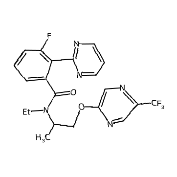 CCN(C(=O)c1cccc(F)c1-c1ncccn1)C(C)COc1cnc(C(F)(F)F)cn1